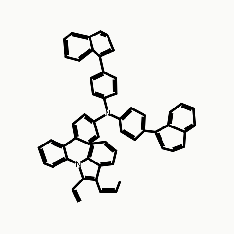 C=Cc1c(/C=C\C)c2ccccc2n1-c1ccccc1-c1ccc(N(c2ccc(-c3cccc4ccccc34)cc2)c2ccc(-c3cccc4ccccc34)cc2)cc1